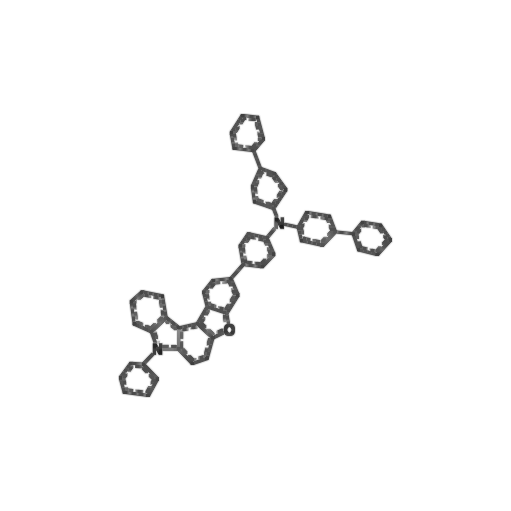 c1ccc(-c2ccc(N(c3ccc(-c4ccccc4)cc3)c3ccc(-c4ccc5c(c4)oc4ccc6c(c7ccccc7n6-c6ccccc6)c45)cc3)cc2)cc1